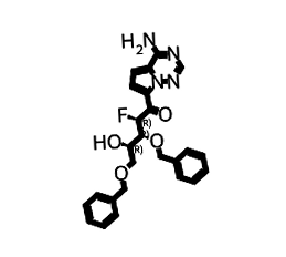 Nc1ncnn2c(C(=O)[C@H](F)[C@H](OCc3ccccc3)[C@H](O)COCc3ccccc3)ccc12